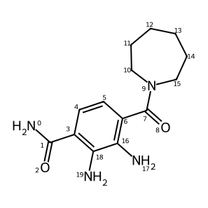 NC(=O)c1ccc(C(=O)N2CCCCCC2)c(N)c1N